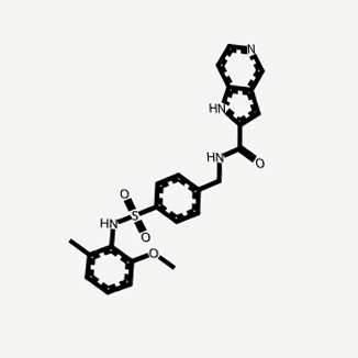 COc1cccc(C)c1NS(=O)(=O)c1ccc(CNC(=O)c2cc3cnccc3[nH]2)cc1